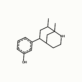 CC1CC(c2cccc(O)c2)C2CCNC1(C)C2